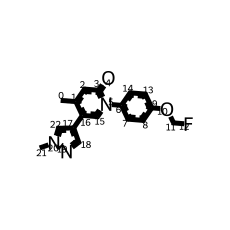 Cc1cc(=O)n(-c2ccc(OCF)cc2)cc1-c1cnn(C)c1